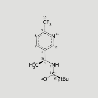 C[C@H](N[S@+]([O-])C(C)(C)C)c1ccc(C(F)(F)F)nc1